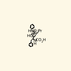 CC(C)CN(C[C@@H](O)[C@H](Cc1ccccc1)NC(=O)O)S(=O)(=O)Nc1ccccc1